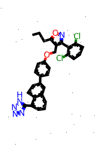 CCCc1onc(-c2c(Cl)cccc2Cl)c1COc1ccc(-c2ccc3c(-c4nnn[nH]4)cccc3c2)cc1